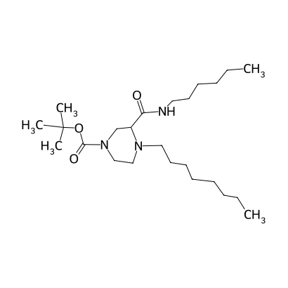 CCCCCCCCN1CCN(C(=O)OC(C)(C)C)CC1C(=O)NCCCCCC